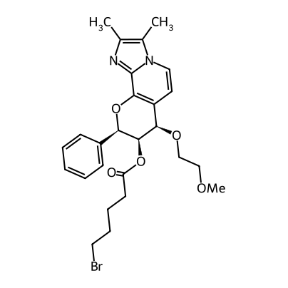 COCCO[C@@H]1c2ccn3c(C)c(C)nc3c2O[C@H](c2ccccc2)[C@@H]1OC(=O)CCCCBr